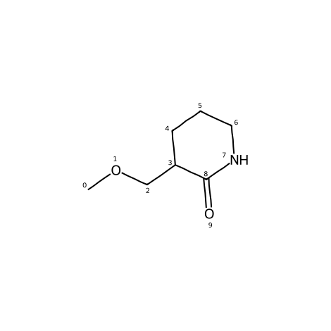 COCC1CCCNC1=O